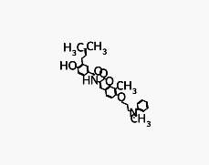 CC(C)=CCc1cc(C(=O)Nc2cc3ccc(OCCCN(C)c4ccccc4)c(C)c3oc2=O)ccc1O